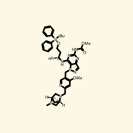 CCC[C@@H](CCO[Si](c1ccccc1)(c1ccccc1)C(C)(C)C)Nc1nc(NC(=O)OC)nc2cnn(Cc3cnc(CN4C[C@@H]5C[C@H]4CN5C)cc3OC)c12